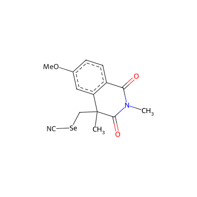 COc1ccc2c(c1)C(C)(C[Se]C#N)C(=O)N(C)C2=O